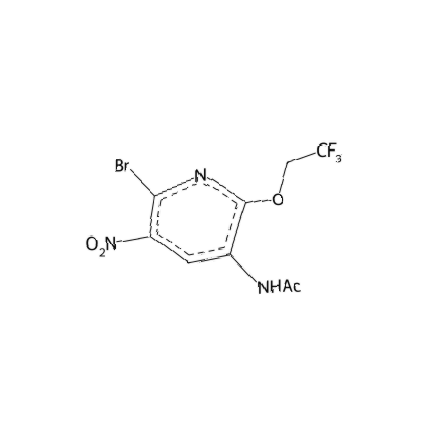 CC(=O)Nc1cc([N+](=O)[O-])c(Br)nc1OCC(F)(F)F